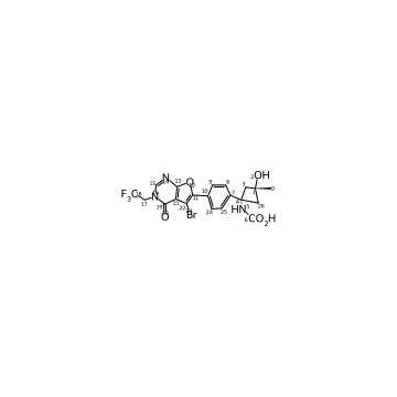 C[C@]1(O)C[C@](NC(=O)O)(c2ccc(-c3oc4ncn(CC(F)(F)F)c(=O)c4c3Br)cc2)C1